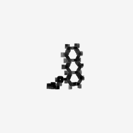 CCCCOc1cccc2cc3[c]cccc3cc12